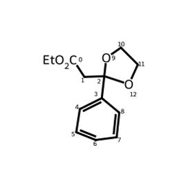 CCOC(=O)CC1(c2ccccc2)OCCO1